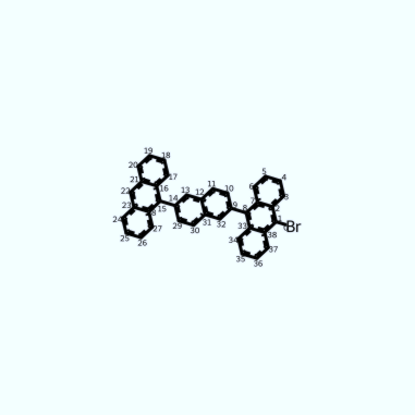 Brc1c2ccccc2c(-c2ccc3cc(-c4c5ccccc5cc5ccccc45)ccc3c2)c2ccccc12